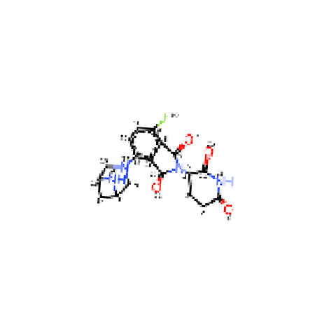 O=C1CCC(N2C(=O)c3c(F)ccc(N4CC5CC(C4)N5)c3C2=O)C(=O)N1